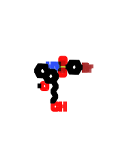 COc1c(CCCCO)cc(NS(=O)(=O)c2ccc(Br)cc2)c2ccccc12